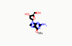 CCCCOc1nc(N)nc2c1ncn2[C@H]1C[C@H](O)[C@@H](CO)O1